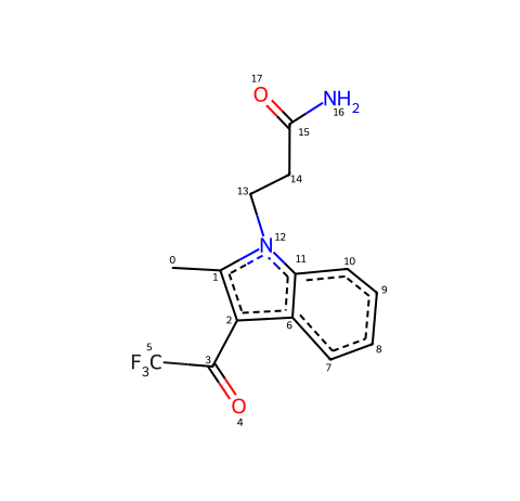 Cc1c(C(=O)C(F)(F)F)c2ccccc2n1CCC(N)=O